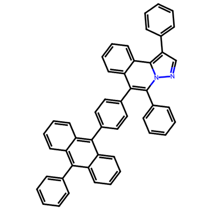 c1ccc(-c2c3ccccc3c(-c3ccc(-c4c(-c5ccccc5)n5ncc(-c6ccccc6)c5c5ccccc45)cc3)c3ccccc23)cc1